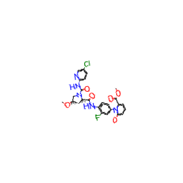 COC(=O)c1cccc(=O)n1-c1ccc(NC(=O)[C@H]2C[C@@H](OC)CN2C(=O)Nc2ccc(Cl)cn2)c(F)c1